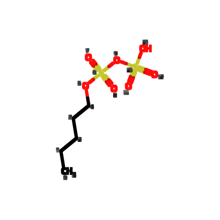 CCCCCOS(=O)(=O)OS(=O)(=O)O